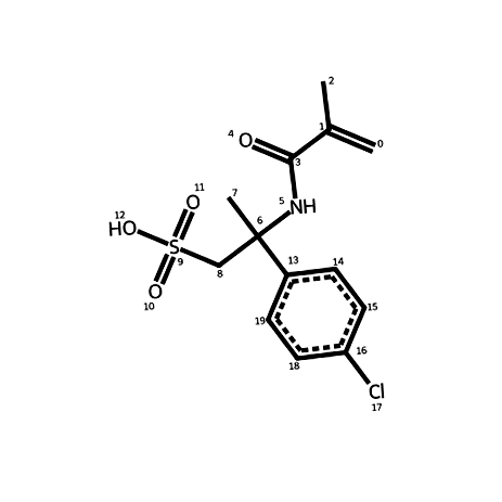 C=C(C)C(=O)NC(C)(CS(=O)(=O)O)c1ccc(Cl)cc1